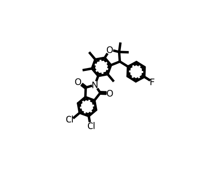 Cc1c(C)c(N2C(=O)c3cc(Cl)c(Cl)cc3C2=O)c(C)c2c1OC(C)(C)C2c1ccc(F)cc1